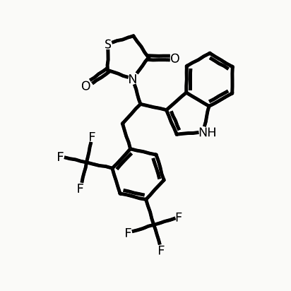 O=C1CSC(=O)N1C(Cc1ccc(C(F)(F)F)cc1C(F)(F)F)c1c[nH]c2ccccc12